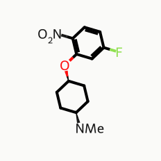 CN[C@H]1CC[C@@H](Oc2cc(F)ccc2[N+](=O)[O-])CC1